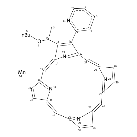 CCCCOC(C)C1=C(c2ccccn2)C2=NC1=CC1=NC(=CC3=NC(=CC4=NC(=C2)C=C4)C=C3)C=C1.[Mn]